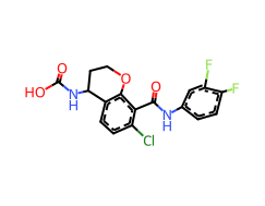 O=C(O)NC1CCOc2c1ccc(Cl)c2C(=O)Nc1ccc(F)c(F)c1